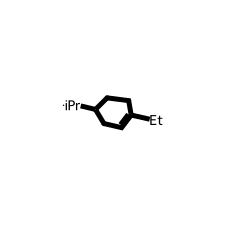 CCC1=CCC([C](C)C)CC1